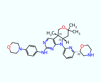 CC1(C)C[C@@H]2N(c3cccc([C@H]4CNCCO4)n3)c3nc(Nc4ccc(N5CCOCC5)cc4)ncc3[C@]2(C)CO1